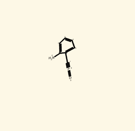 Nc1ccccc1C#P=O